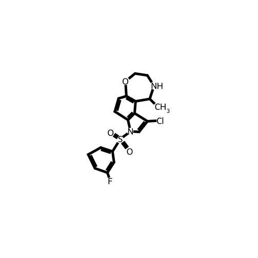 CC1NCCOc2ccc3c(c(Cl)cn3S(=O)(=O)c3cccc(F)c3)c21